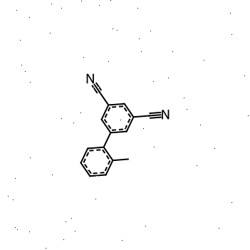 Cc1ccccc1-c1cc(C#N)cc(C#N)c1